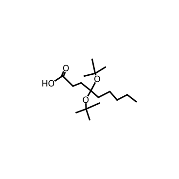 CCCCCC(CCC(=O)O)(OC(C)(C)C)OC(C)(C)C